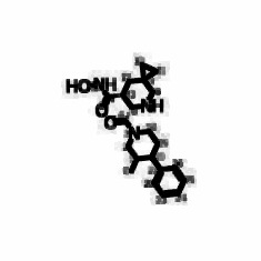 CC1CN(C(=O)[C@H]2NCC3(CC3)C[C@@H]2C(=O)NO)CCC1c1ccccc1